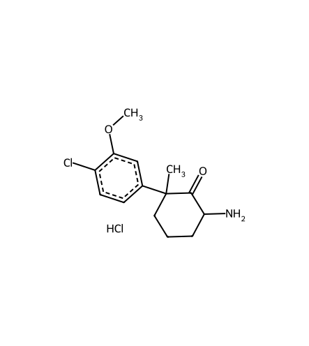 COc1cc(C2(C)CCCC(N)C2=O)ccc1Cl.Cl